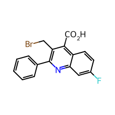 O=C(O)c1c(CBr)c(-c2ccccc2)nc2cc(F)ccc12